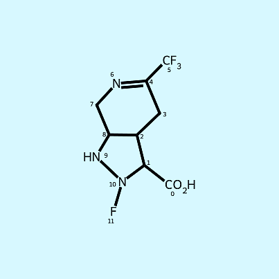 O=C(O)C1C2CC(C(F)(F)F)=NCC2NN1F